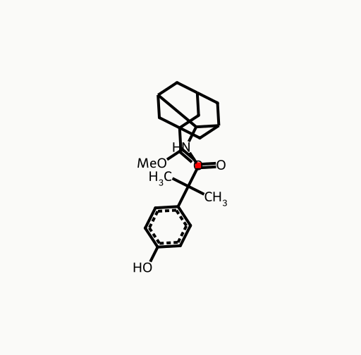 COC(=O)C12CC3CC(C1)C(NC(=O)C(C)(C)c1ccc(O)cc1)C(C3)C2